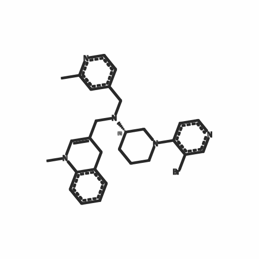 Cc1cc(CN(CC2=CN(C)c3ccccc3C2)[C@H]2CCCN(c3ccncc3Br)C2)ccn1